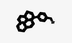 BrCc1ccc(-c2ccc3ccc4cccc5ccc2c3c45)cc1